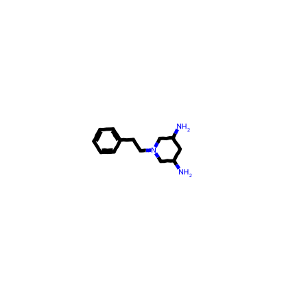 NC1CC(N)CN(CCc2ccccc2)C1